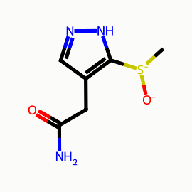 C[S+]([O-])c1[nH]ncc1CC(N)=O